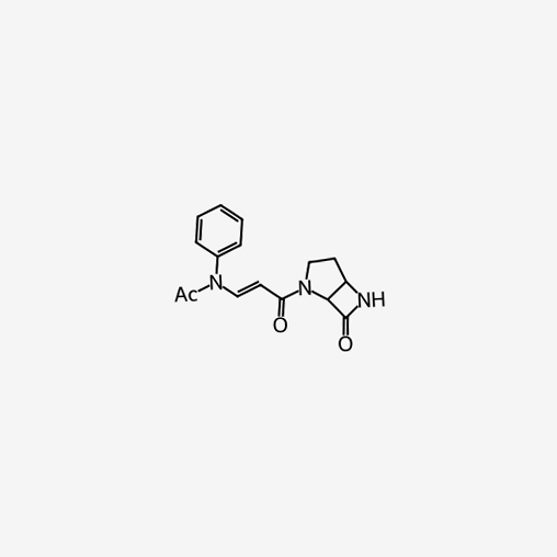 CC(=O)N(C=CC(=O)N1CCC2NC(=O)C21)c1ccccc1